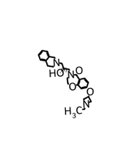 CCN1CC(Oc2ccc3c(c2)OCCN(C[C@H](O)CN2CCc4ccccc4C2)C3=O)C1